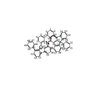 c1ccc(-c2ccccc2N(c2ccc3c(c2)C(c2ccccc2)(c2ccccc2)c2ccccc2-3)c2cccc3c2oc2c(-c4ccccc4)cccc23)cc1